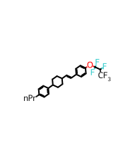 CCCc1ccc(C2CCC(C=Cc3ccc(OC(F)(F)C(F)C(F)(F)F)cc3)CC2)cc1